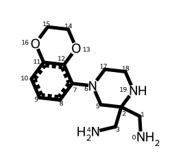 NCC1(CN)CN(c2cccc3c2OCCO3)CCN1